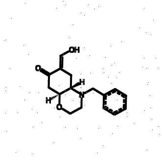 O=C1C[C@@H]2OCCN(Cc3ccccc3)[C@H]2C/C1=C\O